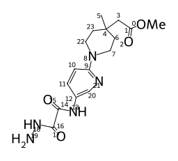 COC(=O)CC1(C)CCN(c2ccc(NC(=O)C(=O)NN)cn2)CC1